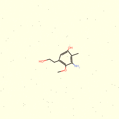 COc1c(CCO)cc(O)c(C)c1N